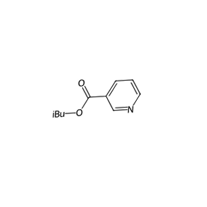 CCC(C)OC(=O)c1cccnc1